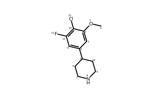 COc1cc(C2CCNCC2)cc(F)c1Cl